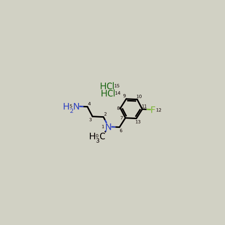 CN(CCCN)Cc1cccc(F)c1.Cl.Cl